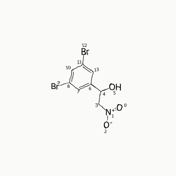 O=[N+]([O-])CC(O)c1cc(Br)cc(Br)c1